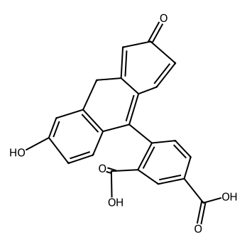 O=C1C=CC2=C(c3ccc(C(=O)O)cc3C(=O)O)c3ccc(O)cc3CC2=C1